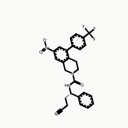 N#CCC[C@H](NC(=O)N1CCc2c(cc([N+](=O)[O-])cc2-c2ccc(C(F)(F)F)cc2)C1)c1ccccc1